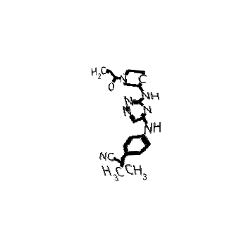 C=CC(=O)N1CCCC(Nc2nncc(Nc3ccc(C(C)(C)C#N)cc3)n2)C1